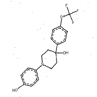 Oc1ccc(N2CCC(O)(c3ccc(OC(F)(F)F)cc3)CC2)cc1